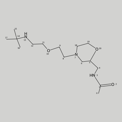 CC(=O)NCC1CN(CCOCCNC(C)(C)C)CCO1